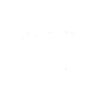 Cc1c(C(=O)O)n2c3ccc(Cl)c(c13)-c1c(nn3c1COCC3)CN(S(=O)(=O)c1ccccc1)Cc1cc(n(C)n1)CSc1cc(c3ccc(F)cc3c1)OCCC2